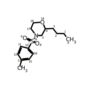 CCCCC1CN(S(=O)(=O)c2ccc(C)cc2)CCO1